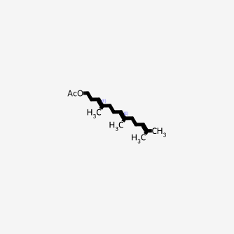 CC(=O)OCC/C=C(\C)CC/C=C(\C)CCC=C(C)C